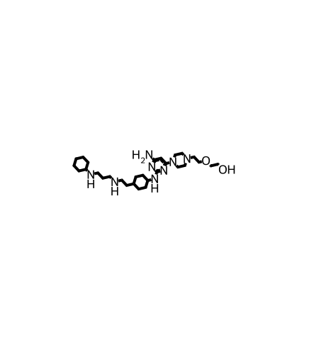 Nc1cc(N2CCN(CCOCCO)CC2)nc(NC2CCC(CCNCCCNC3CCCCC3)CC2)n1